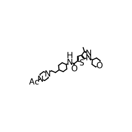 CC(=O)N1CCN(CCC2CCC(NC(=O)c3cc4c(C)nn(C5CCOCC5)c4s3)CC2)CC1